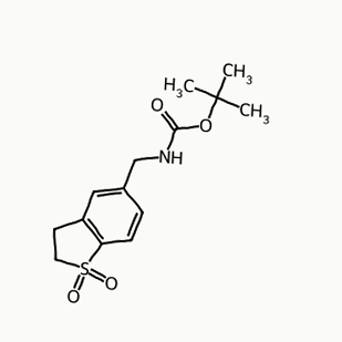 CC(C)(C)OC(=O)NCc1ccc2c(c1)CCS2(=O)=O